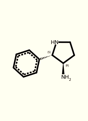 N[C@@H]1CCN[C@H]1c1ccccc1